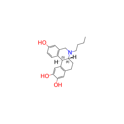 CCCCN1Cc2cc(O)ccc2[C@@H]2c3cc(O)c(O)cc3CC[C@H]21